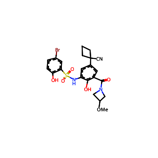 COC1CN(C(=O)c2cc(C3(C#N)CCC3)cc(NS(=O)(=O)c3cc(Br)ccc3O)c2O)C1